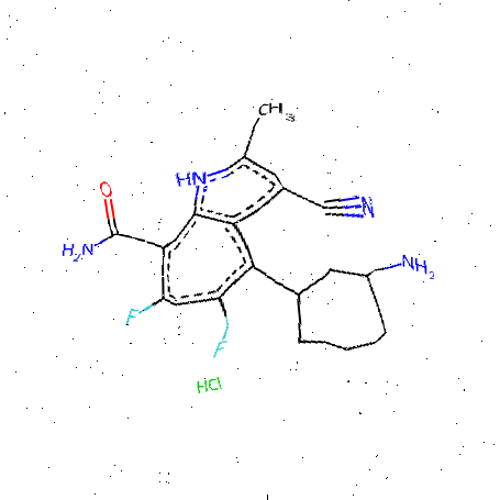 Cc1[nH]c2c(C(N)=O)c(F)c(F)c(C3CCCC(N)C3)c2c1C#N.Cl